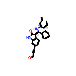 C=C/C=C(\C=C/C)N/C(=C1\C(=O)Nc2cc(C#CC=O)ccc21)c1ccccc1